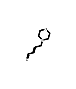 O=CC=CCN1CCOCC1